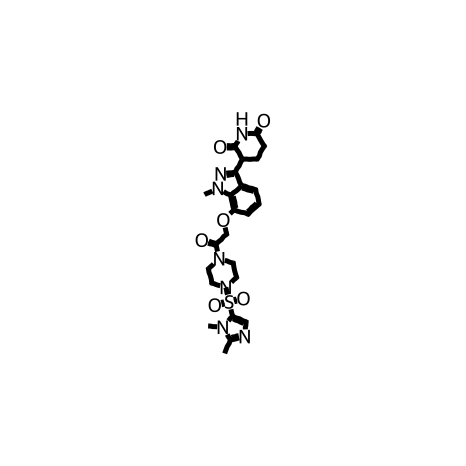 Cc1ncc(S(=O)(=O)N2CCN(C(=O)COc3cccc4c(C5CCC(=O)NC5=O)nn(C)c34)CC2)n1C